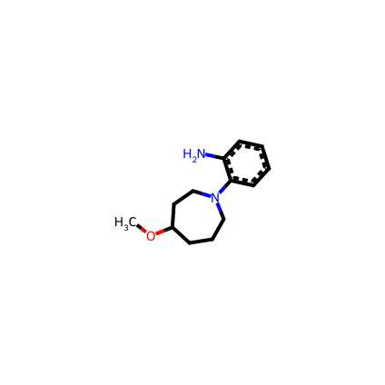 COC1CCCN(c2ccccc2N)CC1